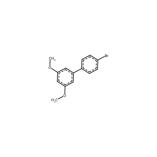 COc1cc(OC)cc(-c2ccc(Br)cc2)c1